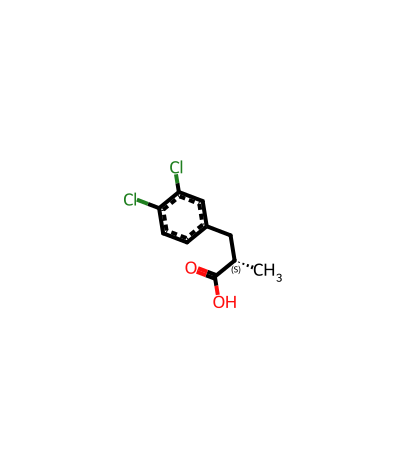 C[C@@H](Cc1ccc(Cl)c(Cl)c1)C(=O)O